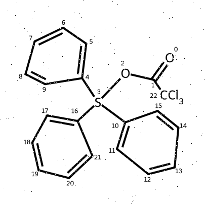 O=C(OS(c1ccccc1)(c1ccccc1)c1ccccc1)C(Cl)(Cl)Cl